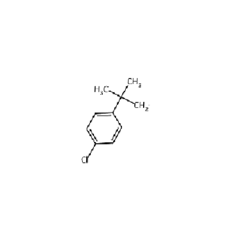 [CH2]C(C)(C)c1ccc(Cl)cc1